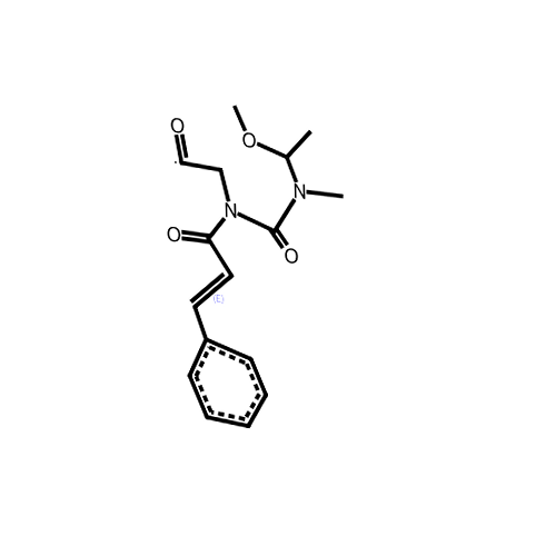 COC(C)N(C)C(=O)N(C[C]=O)C(=O)/C=C/c1ccccc1